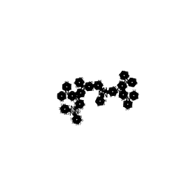 c1ccc(-c2nc(-c3ccc(-n4c5ccc(N(c6ccccc6)c6ccccc6)cc5c5cc(N(c6ccccc6)c6ccccc6)ccc54)cc3)nc(-c3cccc(-c4ccc(N(c5ccccc5)c5ccc6c(c5)c5cc(N(c7ccccc7)c7ccccc7)ccc5n6-c5cccc(-c6nc(-c7ccccc7)nc(-c7ccccc7)n6)c5)cc4)c3)n2)cc1